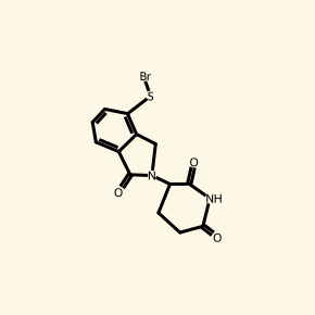 O=C1CCC(N2Cc3c(SBr)cccc3C2=O)C(=O)N1